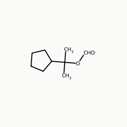 CC(C)(O[C]=O)C1CCCC1